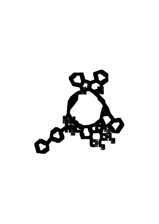 CC1C=CC2(C)C3=C1C(C)c1c(c4ccc(cc4c4ccccc14)-c1nc4ccccc4c4c5ccccc5n(c14)-c1ccc(cc1)-c1nc(-c4ccc(-c5ccccc5)cc4)nc2n1)C3C